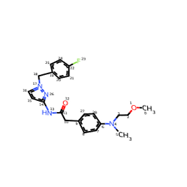 COCCN(C)c1ccc(CC(=O)Nc2ccn(Cc3ccc(F)cc3)n2)cc1